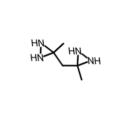 CC1(CC2(C)NN2)NN1